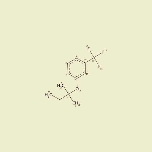 CCC(C)(C)Oc1cccc(C(F)(F)F)c1